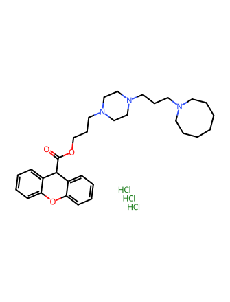 Cl.Cl.Cl.O=C(OCCCN1CCN(CCCN2CCCCCCC2)CC1)C1c2ccccc2Oc2ccccc21